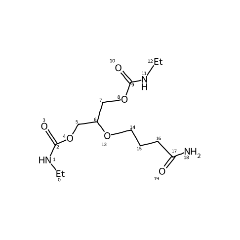 CCNC(=O)OCC(COC(=O)NCC)OCCCC(N)=O